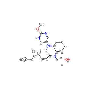 CCOc1ncc(Nc2cc(C(CC)CC(=O)O)ccc2N(CC(C)(C)O)C2CCCCC2)cn1